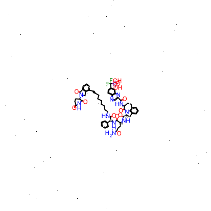 NC(=O)CC[C@H](NC(=O)[C@@H]1Cc2cccc3c2N1C(=O)[C@@H](NC(=O)c1cnc2ccc(C(F)(F)P(=O)(O)O)cc2n1)CC3)C(=O)N[C@H](C(=O)NCCCCCCCC#Cc1cccc2c1CN(C1CCC(=O)NC1=O)C2=O)c1ccccc1